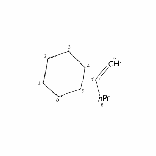 [CH]1CCCCC1.[CH]=CCCC